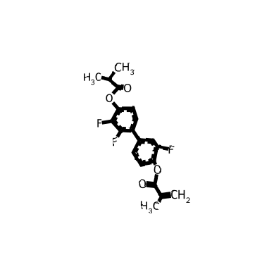 C=C(C)C(=O)Oc1ccc(-c2ccc(OC(=O)C(C)C)c(F)c2F)cc1F